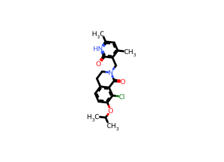 Cc1cc(C)c(CN2CCc3ccc(OC(C)C)c(Cl)c3C2=O)c(=O)[nH]1